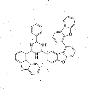 c1ccc(C2N=C(c3cccc4oc5ccccc5c34)NC(c3ccc4oc5cccc(-c6cccc7c6oc6ccccc67)c5c4c3)N2)cc1